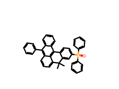 CC1(C)c2cc(P(=O)(c3ccccc3)c3ccccc3)ccc2-c2c3ccccc3c(-c3ccccc3)c3cccc1c23